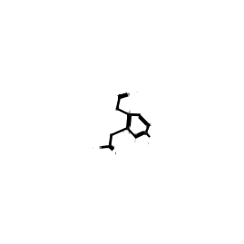 O=C(O)Cc1ccc(Cl)cc1CC(=O)O